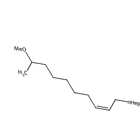 CCCCCCCC/C=C\CCCCCC(C)OC